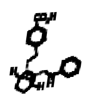 O=C(O)c1ccc(CC[C@@H]2[C@H](CNc3ccccc3)[C@@H]3CC[C@H]2O3)cc1